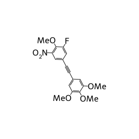 COc1cc(C#Cc2cc(F)c(OC)c([N+](=O)[O-])c2)cc(OC)c1OC